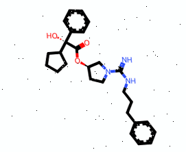 N=C(NCCCc1ccccc1)N1CC[C@@H](OC(=O)[C@](O)(c2ccccc2)C2CCCC2)C1